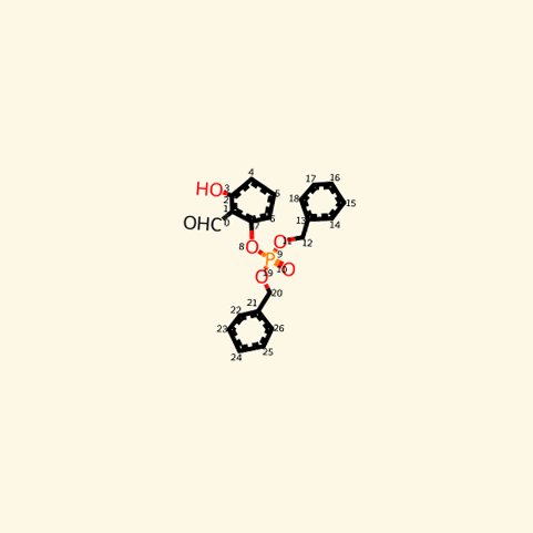 O=Cc1c(O)cccc1OP(=O)(OCc1ccccc1)OCc1ccccc1